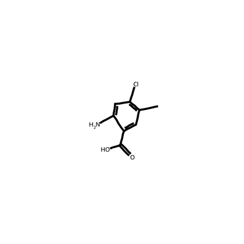 Cc1cc(C(=O)O)c(N)cc1Cl